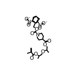 C=C(C)C(=O)OC(C)COC(C)COC(=O)C1CCN(C(=O)OCc2c([N+](=O)[O-])cccc2[N+](=O)[O-])CC1